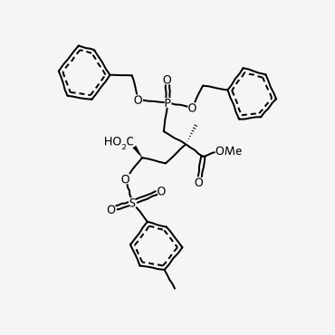 COC(=O)[C@@](C)(C[C@@H](OS(=O)(=O)c1ccc(C)cc1)C(=O)O)CP(=O)(OCc1ccccc1)OCc1ccccc1